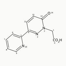 O=C(O)Cn1nc(-c2ccccn2)ccc1=O